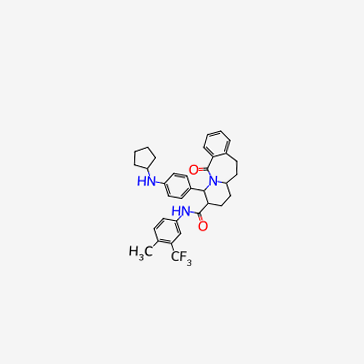 Cc1ccc(NC(=O)C2CCC3CCc4ccccc4C(=O)N3C2c2ccc(NC3CCCC3)cc2)cc1C(F)(F)F